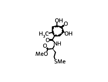 COC(=O)[C@H](CCSC)NC(=O)c1cc(O)c(=O)c(O)cc1C